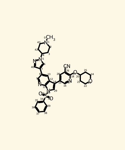 CN1CCC(n2cc(-c3cnc4c(c3)c(-c3cnc(OC5CCOCC5)c(C#N)c3)cn4S(=O)(=O)c3ccccc3)cn2)CC1